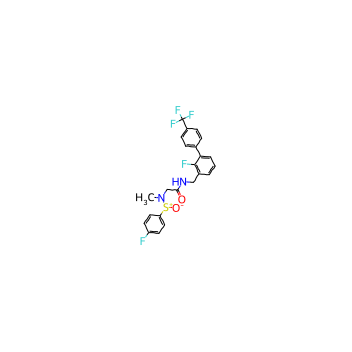 CN(CC(=O)NCc1cccc(-c2ccc(C(F)(F)F)cc2)c1F)[S+]([O-])c1ccc(F)cc1